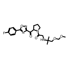 COCOCC(C)(C)NCC(=O)N1CCCC1C(=O)c1noc(-c2ccc(F)cc2)n1